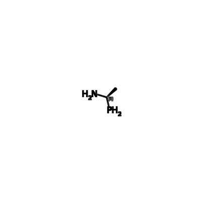 C[C@H](N)P